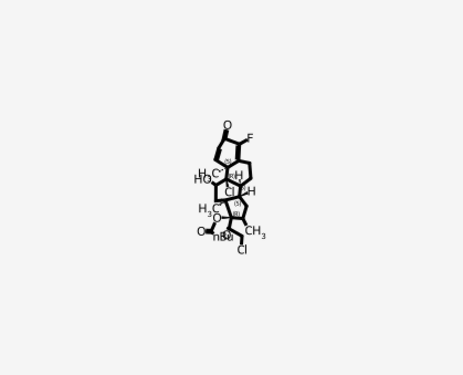 CCCCC(=O)O[C@]1(C(=O)CCl)C(C)C[C@H]2[C@@H]3CCC4=C(F)C(=O)C=C[C@]4(C)[C@@]3(Cl)C(O)C[C@@]21C